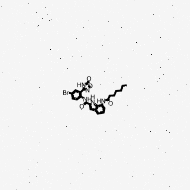 CCCCCCC(=O)Nc1cccc2cc(C(=O)Nc3ccc(Br)cc3-c3noc(=O)[nH]3)[nH]c12